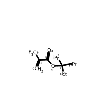 C=C(C(=O)OC(CC)(C(C)C)C(C)C)C(F)(F)F